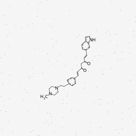 CN1CCN(CCc2ccc(C=CC(=O)CC(=O)C=Cc3ccc4cc[nH]c4c3)cc2)CC1